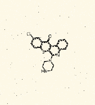 O=c1c2cc(Cl)ccc2sc2c(N3CCNCC3)nc3ccccc3c12